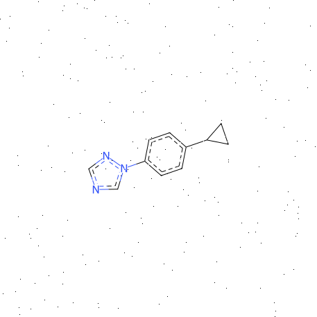 c1ncn(-c2ccc(C3CC3)cc2)n1